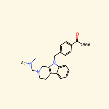 COC(=O)c1ccc(Cn2c3c(c4ccccc42)CCN(CN(C)C(C)=O)C3)cc1